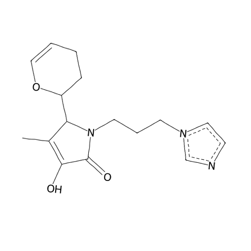 CC1=C(O)C(=O)N(CCCn2ccnc2)C1C1CCC=CO1